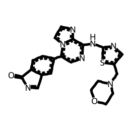 O=C1N=Cc2cc(-c3cnc(Nc4ncc(CN5CCOCC5)s4)c4nccn34)ccc21